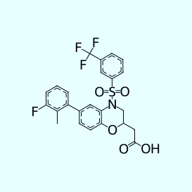 Cc1c(F)cccc1-c1ccc2c(c1)N(S(=O)(=O)c1cccc(C(F)(F)F)c1)CC(CC(=O)O)O2